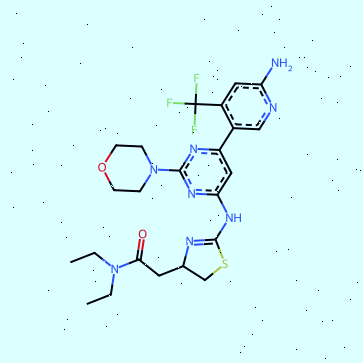 CCN(CC)C(=O)CC1CSC(Nc2cc(-c3cnc(N)cc3C(F)(F)F)nc(N3CCOCC3)n2)=N1